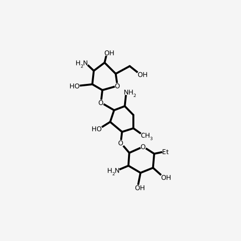 CCC1OC(OC2C(C)CC(N)C(OC3OC(CO)C(O)C(N)C3O)C2O)C(N)C(O)C1O